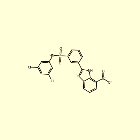 O=[N+]([O-])c1cccc2nc(-c3cccc(S(=O)(=O)Nc4cc(Cl)cc(Cl)c4)c3)[nH]c12